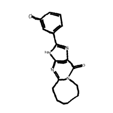 O=c1c2nc(-c3cccc(Cl)c3)[nH]c2nc2n1CCCCC2